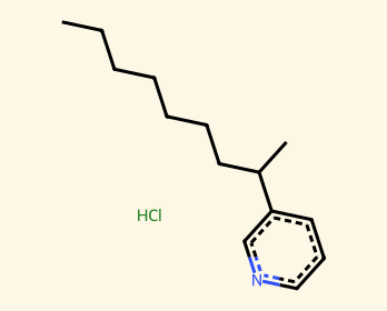 CCCCCCCC(C)c1cccnc1.Cl